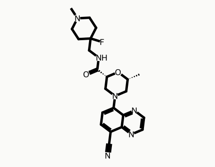 C[C@@H]1CN(c2ccc(C#N)c3nccnc23)C[C@H](C(=O)NCC2(F)CCN(C)CC2)O1